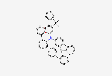 CC1(C)c2ccccc2-c2ccc(N(c3ccc4c(c3)C3(c5ccccc5-c5ccccc53)C3CC=CC=C43)c3ccccc3-c3ccccc3)cc21